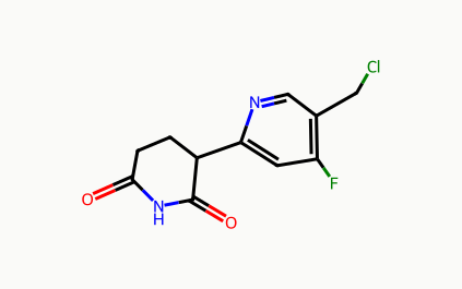 O=C1CCC(c2cc(F)c(CCl)cn2)C(=O)N1